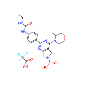 CCNC(=O)Nc1ccc(-c2nc3c(c(N4CCOCC4C)n2)CN(C(=O)O)C3)cc1.O=C(O)C(F)(F)F